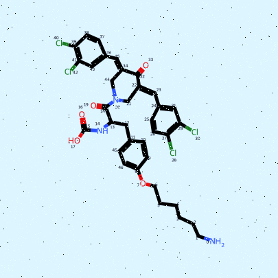 NCCCCCCOc1ccc(CC(NC(=O)O)C(=O)N2C/C(=C\c3ccc(Cl)c(Cl)c3)C(=O)/C(=C/c3ccc(Cl)c(Cl)c3)C2)cc1